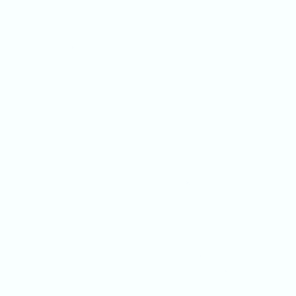 SCCCCC#CCCc1ccccc1